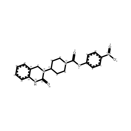 O=C(Oc1ccc([N+](=O)[O-])cc1)N1CCC(N2Cc3ccccc3NC2=O)CC1